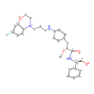 CCOC(Cc1ccc(NCCCN2CCOc3cc(F)ccc32)cc1)C(=O)N[C@@H](CO)c1ccccc1